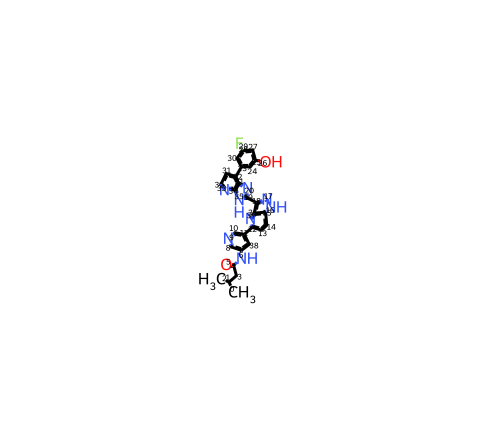 CC(C)CC(=O)Nc1cncc(-c2ccc3[nH]nc(-c4nc5c(-c6cc(O)cc(F)c6)ccnc5[nH]4)c3n2)c1